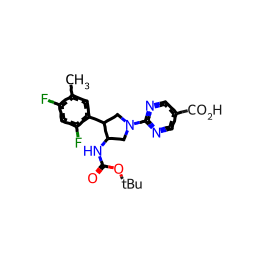 Cc1cc(C2CN(c3ncc(C(=O)O)cn3)CC2NC(=O)OC(C)(C)C)c(F)cc1F